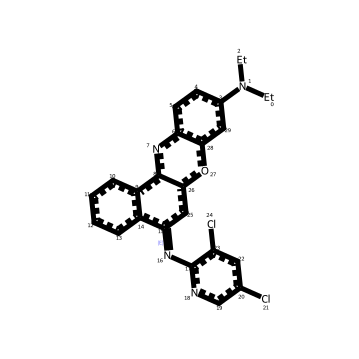 CCN(CC)c1ccc2nc3c4ccccc4/c(=N/c4ncc(Cl)cc4Cl)cc-3oc2c1